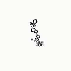 N[C@]1(COP(=O)(O)O)CC[C@H](c2ccc3c(c2)CCC(CS(=O)(=O)c2ccccc2)C3)C1